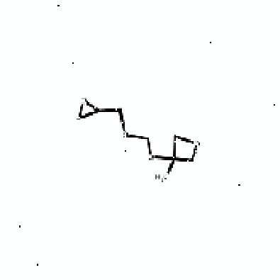 CC1(OCOCC2CO2)COC1